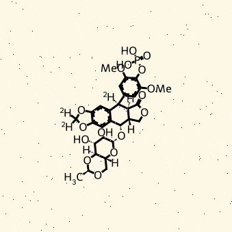 [2H]C1([2H])Oc2cc3c(cc2O1)[C@@]([2H])(c1cc(OC)c(OP(=O)(O)O)c(OC)c1)[C@H]1C(=O)OC[C@@H]1[C@@H]3O[C@@H]1O[C@@H]2CO[C@@H](C)O[C@H]2[C@H](O)[C@H]1O